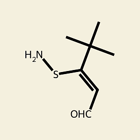 CC(C)(C)/C(=C/C=O)SN